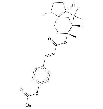 C[C@@H]1CC[C@H]2C(C)(C)[C@H]3C[C@@]12CC[C@@]3(C)OC(=O)/C=C/c1ccc(OC(=O)C(C)(C)C)cc1